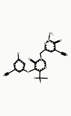 N#Cc1cc(Cl)cc(Oc2c(C(F)(F)F)ncn(Cc3cc(C#N)c(=O)n(P)n3)c2=O)c1